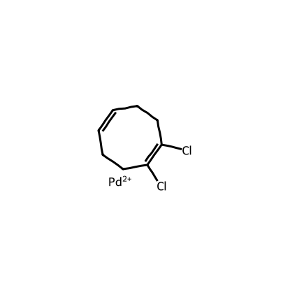 ClC1=C(Cl)CCC=CCC1.[Pd+2]